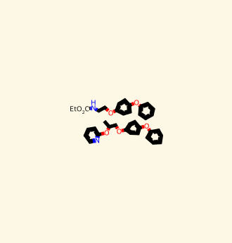 CC(COc1ccc(Oc2ccccc2)cc1)Oc1ccccn1.CCOC(=O)NCCOc1ccc(Oc2ccccc2)cc1